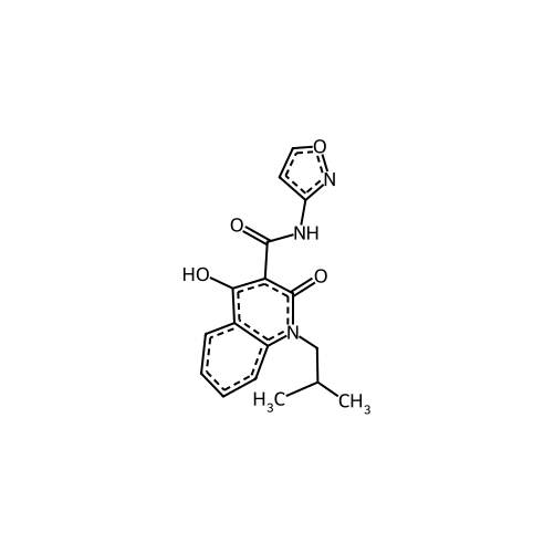 CC(C)Cn1c(=O)c(C(=O)Nc2ccon2)c(O)c2ccccc21